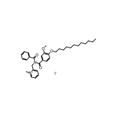 CCCCCCCCCCCCOc1ccc(C(=O)N(Cc2cccc[n+]2C)C(=O)c2ccccc2)cc1OC.[I-]